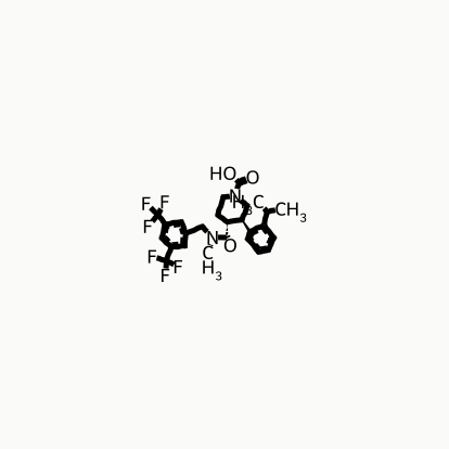 CC(C)c1ccccc1[C@@H]1CN(C(=O)O)CC[C@H]1C(=O)N(C)Cc1cc(C(F)(F)F)cc(C(F)(F)F)c1